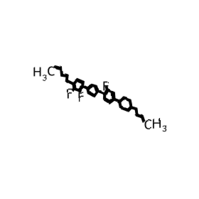 C/C=C\CCCc1ccc(-c2ccc(-c3ccc(C4CCC(CCCCC)CC4)cc3F)cc2)c(F)c1F